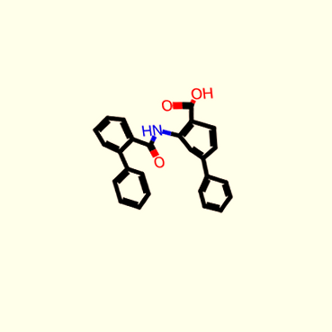 O=C(O)c1ccc(-c2ccccc2)cc1NC(=O)c1ccccc1-c1ccccc1